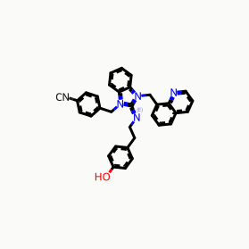 [C-]#[N+]c1ccc(Cn2/c(=N\CCc3ccc(O)cc3)n(Cc3cccc4cccnc34)c3ccccc32)cc1